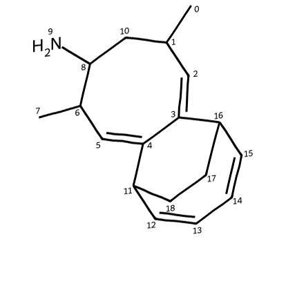 CC1/C=C2\C(=C/C(C)C(N)C1)C1/C=C\C=C/C2CC1